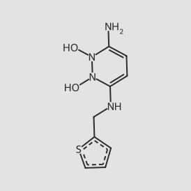 NC1=CC=C(NCc2cccs2)N(O)N1O